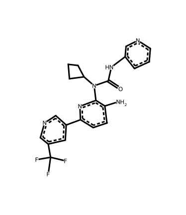 Nc1ccc(-c2cncc(C(F)(F)F)c2)nc1N(C(=O)Nc1cccnc1)C1CCC1